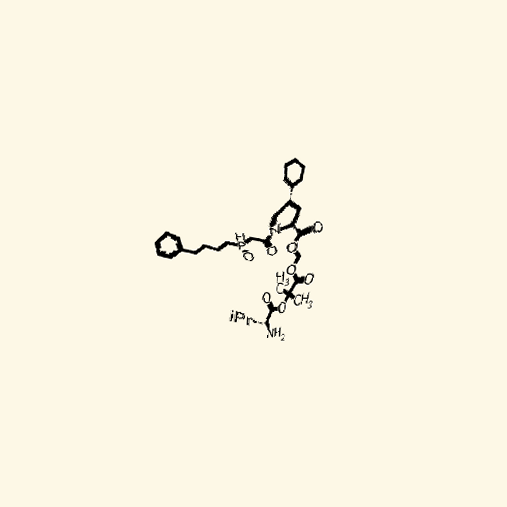 CC(C)[C@@H](N)C(=O)OC(C)(C)C(=O)OCOC(=O)[C@@H]1C[C@@H](C2CCCCC2)CN1C(=O)C[PH](=O)CCCCc1ccccc1